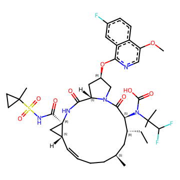 CC[C@@H]1C[C@@H](C)CCC=C[C@@H]2C[C@@]2(C(=O)NS(=O)(=O)C2(C)CC2)NC(=O)[C@@H]2C[C@@H](Oc3ncc(OC)c4ccc(F)cc34)CN2C(=O)[C@H]1N(C(=O)O)C(C)(C)C(F)F